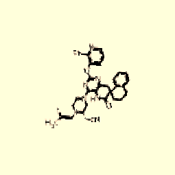 CCc1ncccc1Oc1nc2c(c(N3CCN(C=C(C)F)[C@@H](CC#N)C3)n1)NC(=O)C1(CCCc3ccccc31)C2